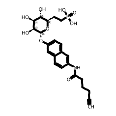 C#CCCCC(=O)Nc1ccc2cc(O[C@H]3O[C@H](CCP(=O)(O)O)[C@@H](O)[C@H](O)[C@@H]3O)ccc2c1